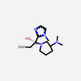 CN(C)C1CCCN([C@@](O)(CC=O)c2nccn2C)C1